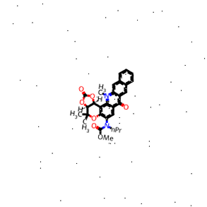 CCCN(C(=O)OC)c1cc2c(=O)c3cc4ccccc4cc3n(C)c2c2c1OC(C)(C)[C@H]1OC(=O)O[C@@H]21